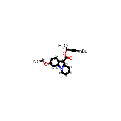 CCCCC#CC(C)OC(=O)c1c2ccc(OCC#N)cc2n2ccccc12